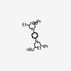 CCCCC(CC)CN(CCC(C)C)c1ccc(N(CCC(C)C)CC(CC)CCCC)cc1